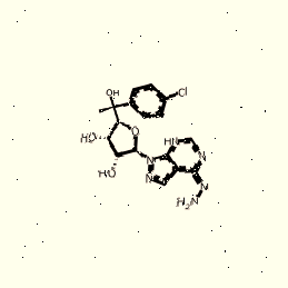 C[C@@](O)(c1ccc(Cl)cc1)[C@H]1O[C@@H](n2ncc3/c(=N\N)nc[nH]c32)[C@H](O)[C@@H]1O